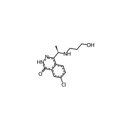 C[C@@H](NCCCO)c1n[nH]c(=O)c2cc(Cl)ccc12